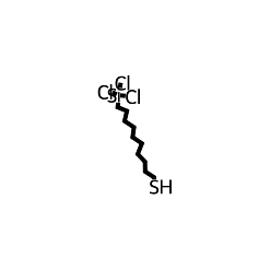 SCCCCCCCCCC[Si](Cl)(Cl)Cl